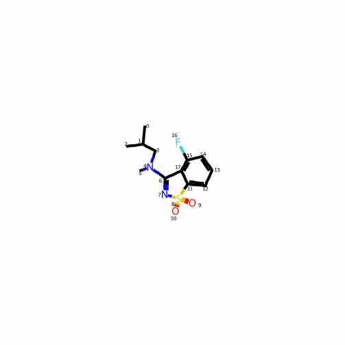 CC(C)CN(C)C1=NS(=O)(=O)c2cccc(F)c21